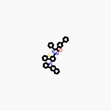 c1ccc(-c2ccc3c(c2)oc2nc(-c4ccc(-n5c6ccccc6c6cc7ccccc7cc65)c5c4sc4ccccc45)nc(-c4ccccc4)c23)cc1